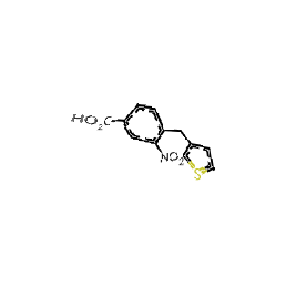 O=C(O)c1ccc(Cc2ccsc2)c([N+](=O)[O-])c1